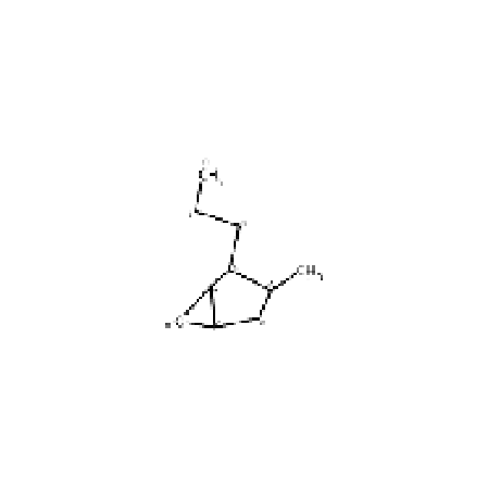 CCCC1C(C)CC2OC21